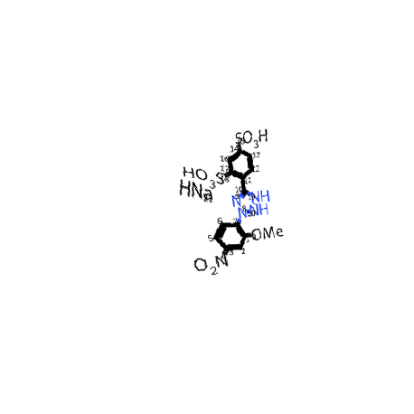 COc1cc([N+](=O)[O-])ccc1N1N=C(c2ccc(S(=O)(=O)O)cc2S(=O)(=O)O)NN1.[NaH]